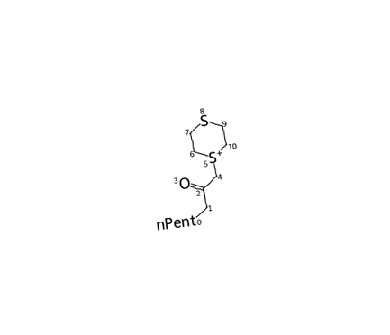 CCCCCCC(=O)C[S+]1CCSCC1